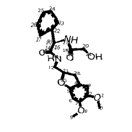 COc1cc2c(cc1OC)OC(CNC(=O)[C@H](NC(=O)CO)c1ccccc1)C2